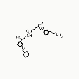 CCCC(CCCCC(=O)NCCC(O)c1cccc(OCC2CCCCC2)c1)COc1cccc(CCCN)c1